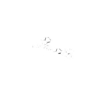 CCCN(CCCc1ccc(OC(C)(C)C(=O)O)cc1)S(=O)(=O)c1ccccc1F